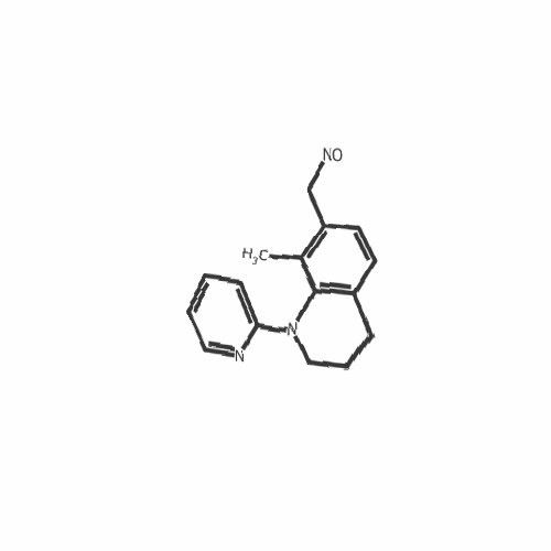 Cc1c(CN=O)ccc2c1N(c1ccccn1)CCC2